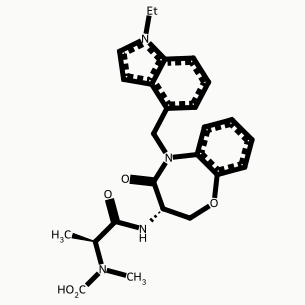 CCn1ccc2c(CN3C(=O)[C@@H](NC(=O)[C@H](C)N(C)C(=O)O)COc4ccccc43)cccc21